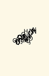 Cc1c(N2CCCC2=O)cccc1S(=O)(=O)N[C@@H](C(N)=O)C(=O)N1CCn2cnnc2C1